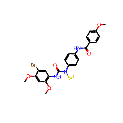 COc1ccc(C(=O)Nc2ccc(N(S)C(=O)Nc3cc(Br)c(OC)cc3OC)cc2)cc1